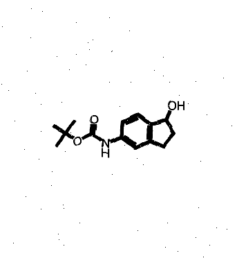 CC(C)(C)OC(=O)Nc1ccc2c(c1)CCC2O